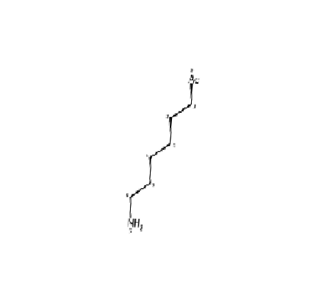 CC(=O)CCCCCCN